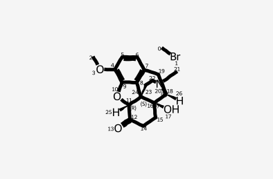 CBr.COc1ccc2c3c1O[C@H]1C(=O)CC[C@@]4(O)[C@@H](C2)N(C)CC[C@]314